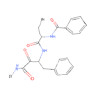 CCNC(=O)C(=O)C(Cc1ccccc1)NC(=O)C(CC(C)C)NC(=O)c1ccccc1